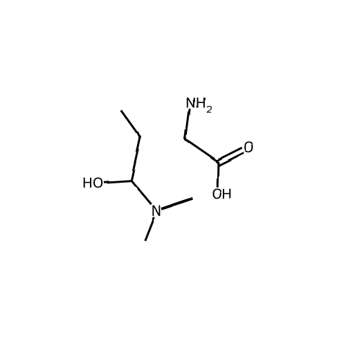 CCC(O)N(C)C.NCC(=O)O